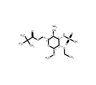 CCO[C@@H]1[C@@H](OC)O[C@H](COC(=O)C(C)(C)C)[C@@H](O)[C@@H]1NS(=O)(=O)O.N